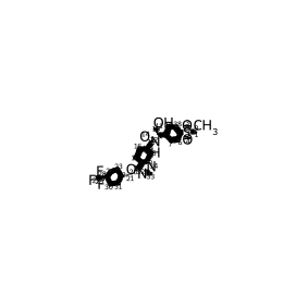 CCS(=O)(=O)c1ccc([C@H](CO)NC(=O)c2ccc3c(OC[C@H]4CC[C@H](C(F)(F)F)CC4)ncnc3c2)cc1